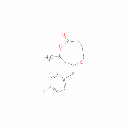 C[C@H]1C[C@@H](Cc2ccc(F)cc2)OCCCC(=O)O1